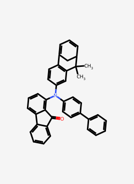 CC1(C)c2cc(N(c3ccc(-c4ccccc4)cc3)c3cccc4c3C(=O)c3ccccc3-4)ccc2C2=CC=CC1C2